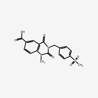 Cn1c(=O)n(Cc2ccc(S(C)(=O)=O)cc2)c(=O)c2cc(C(=O)O)ccc21